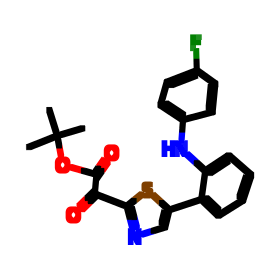 CC(C)(C)OC(=O)C(=O)c1ncc(-c2ccccc2Nc2ccc(F)cc2)s1